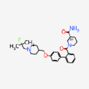 CC(C)(F)CN1CCC(COc2ccc(-c3ccccc3C(=O)N3CCC[C@H](C(N)=O)C3)cc2)CC1